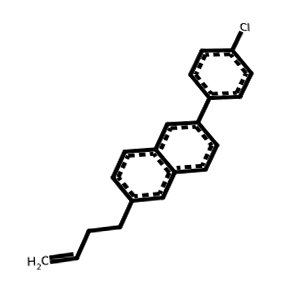 C=CCCc1ccc2cc(-c3ccc(Cl)cc3)ccc2c1